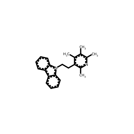 Cc1nc(C)c(CCn2c3ccccc3c3ccccc32)c(C)c1C